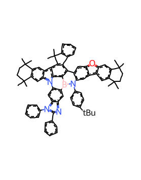 CC(C)(C)c1ccc(N2B3c4cc5nc(-c6ccccc6)n(-c6ccccc6)c5cc4-n4c5cc6c(cc5c5c7c(c(c3c54)-c3cc4oc5cc8c(cc5c4cc32)C(C)(C)CCC8(C)C)-c2ccccc2C7(C)C)C(C)(C)CCC6(C)C)cc1